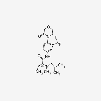 CC(C)CN(C)[C@@H](CN)C(=O)Nc1ccc(N2CCOCC2=O)c(C(F)F)c1